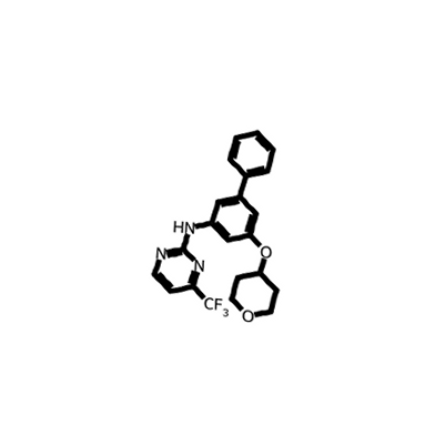 FC(F)(F)c1ccnc(Nc2cc(OC3CCOCC3)cc(-c3ccccc3)c2)n1